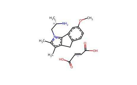 COc1ccc2c(c1)-c1c(c(C)c(C)n1C[C@H](C)N)C2.O=C(O)/C=C/C(=O)O